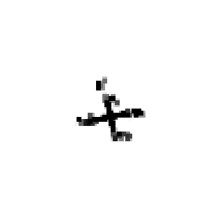 COC(P)(OC)OC.I